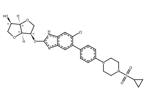 O=S(=O)(C1CC1)N1CCN(c2ccc(-c3cc4nc(O[C@@H]5CO[C@H]6[C@@H]5OC[C@H]6O)[nH]c4cc3Cl)cc2)CC1